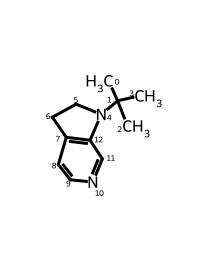 CC(C)(C)N1CCc2ccncc21